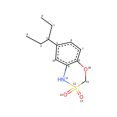 CCC(CC)c1ccc2c(c1)NS(=O)(=O)CO2